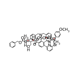 COc1ccc(CN(Cc2ccc(OC)cc2)S(=O)(=O)c2c(S(=O)(=O)NC(CO)CNC(=O)OCc3ccccc3)ccc(-c3cccc(Br)n3)c2-c2nnn(Cc3ccc(OC)cc3)n2)cc1